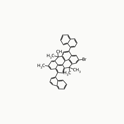 Cc1cc2c3c4c(cc(-c5cccc6ccccc56)c3c1)C(C)(C)c1cc(Br)cc3c(-c5cccc6ccccc56)cc(c-4c13)C2(C)C